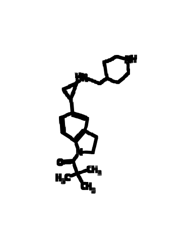 CC(C)(C)C(=O)N1CCc2cc(C3CC3NCC3CCNCC3)ccc21